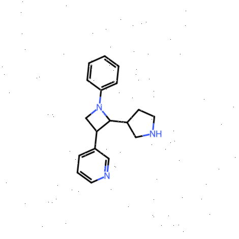 c1ccc(N2CC(c3cccnc3)C2C2CCNC2)cc1